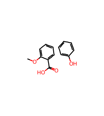 COc1ccccc1C(=O)O.Oc1ccccc1